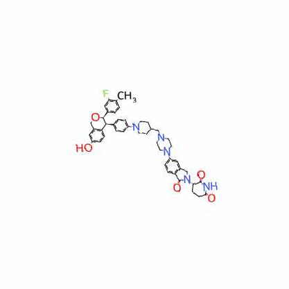 Cc1ccc([C@@H]2OCc3cc(O)ccc3[C@@H]2c2ccc(N3CCC(CN4CCN(c5ccc6c(c5)CN([C@H]5CCC(=O)NC5=O)C6=O)CC4)CC3)cc2)cc1F